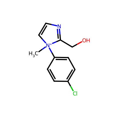 C[N+]1(c2ccc(Cl)cc2)C=CN=C1CO